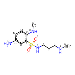 CCCNCCCNS(=O)(=O)c1cc(N)ccc1NCC